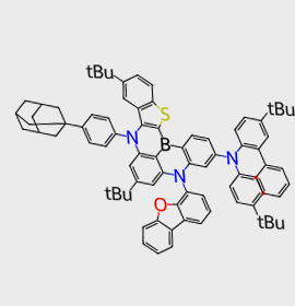 CC(C)(C)c1ccc(N(c2ccc3c(c2)N(c2cccc4c2oc2ccccc24)c2cc(C(C)(C)C)cc4c2B3c2sc3ccc(C(C)(C)C)cc3c2N4c2ccc(C34CC5CC(CC(C5)C3)C4)cc2)c2ccc(C(C)(C)C)cc2-c2ccccc2)cc1